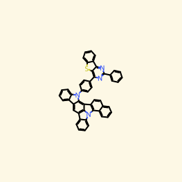 c1ccc(-c2nc(-c3ccc(-n4c5ccccc5c5cc6c7ccccc7n7c8c9ccccc9ccc8c(c54)c67)cc3)c3sc4ccccc4c3n2)cc1